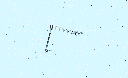 [Al+3].[Ce+3].[F-].[F-].[F-].[F-].[F-].[F-].[F-].[F-].[F-].[Li+].[Sr+2]